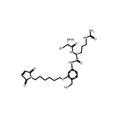 CC(=O)N[C@H](C(=O)N[C@@H](CCCNC(N)=O)C(=O)Nc1ccc(CO)c(OCCCCCCN2C(=O)C=CC2=O)c1)C(C)C